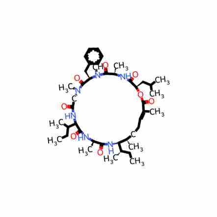 CCC(C)C1NC(=O)CN(C)C(=O)[C@@H](Cc2ccccc2)N(C)C(=O)[C@H](C)NC(=O)[C@@H](CC(C)C)OC(=O)/C(C)=C/CC[C@H](C)[C@@H]([C@@H](C)CC)NC(=O)[C@@H](C)NC1=O